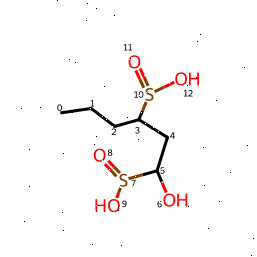 CCCC(CC(O)S(=O)O)S(=O)O